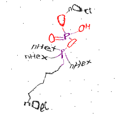 CCCCCCCCCCCCCCP(CCCCCC)(CCCCCC)(CCCCCC)OP(=O)(O)OCCCCCCCC